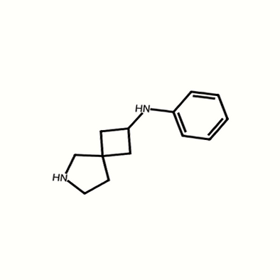 c1ccc(NC2CC3(CCNC3)C2)cc1